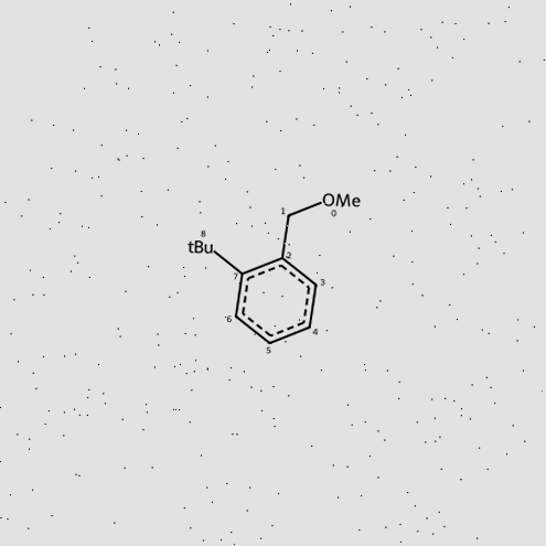 [CH2]OCc1ccccc1C(C)(C)C